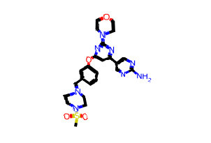 CS(=O)(=O)N1CCN(Cc2cccc(Oc3cc(-c4cnc(N)nc4)nc(N4CCOCC4)n3)c2)CC1